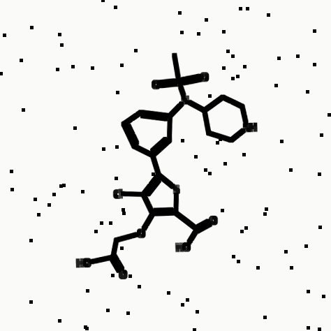 CS(=O)(=O)N(c1cccc(-c2sc(C(=O)O)c(OCC(=O)O)c2Cl)c1)C1CCNCC1